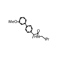 COc1cccc(-c2ccc(C(C)C(=O)NCC(C)C)cc2)c1